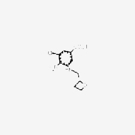 Nc1c(Cl)cc(C(=O)O)cc1NC[C@@H]1CCO1